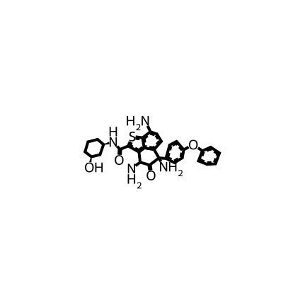 Nc1ccc2c3c(c(C(=O)N[C@@H]4CCC[C@H](O)C4)sc13)C(N)C(=O)C2(N)c1ccc(Oc2ccccc2)cc1